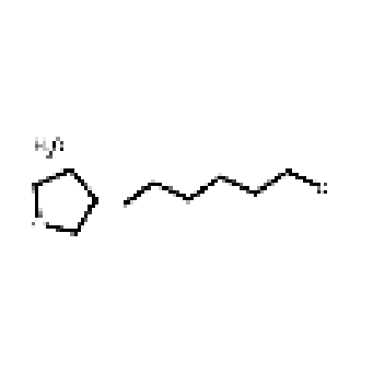 C1CCOC1.CCCCCCO.O